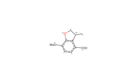 COc1ccc(C=O)c2c1OCC2C